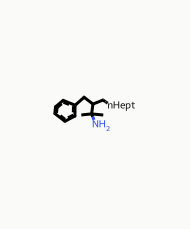 CCCCCCCCC(Cc1ccccc1)C(C)(C)N